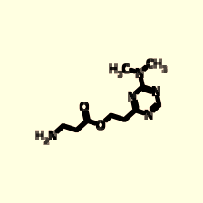 CN(C)c1ncnc(CCOC(=O)CCN)n1